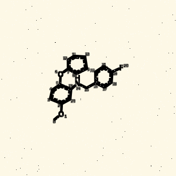 COc1ccc(Oc2ccccc2)c(NCc2ccc(F)cc2)c1